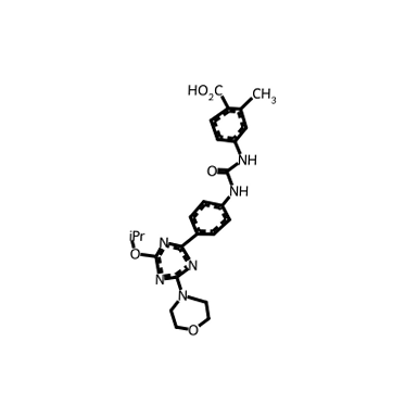 Cc1cc(NC(=O)Nc2ccc(-c3nc(OC(C)C)nc(N4CCOCC4)n3)cc2)ccc1C(=O)O